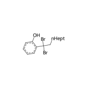 CCCCCCCCC(Br)(Br)c1ccccc1O